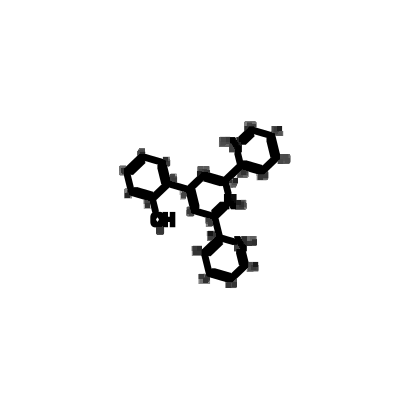 Oc1ccccc1-c1cc(-c2ccccn2)nc(-c2ccccn2)c1